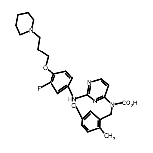 Cc1ccc(Cl)cc1CN(C(=O)O)c1ccnc(Nc2ccc(OCCCN3CCCCC3)c(F)c2)n1